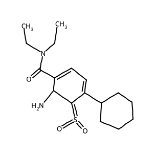 CCN(CC)C(=O)C1=CC=C(C2CCCCC2)C(=S(=O)=O)C1N